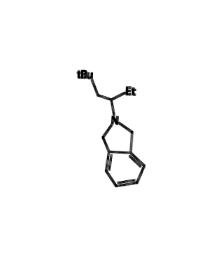 CCC(CC(C)(C)C)N1Cc2ccccc2C1